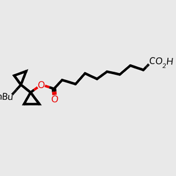 CCCCC1(C2(OC(=O)CCCCCCCCC(=O)O)CC2)CC1